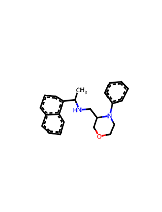 CC(NCC1COCCN1c1ccccc1)c1cccc2ccccc12